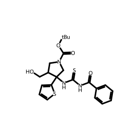 CC(C)(C)OC(=O)N1CC(CO)C(NC(=S)NC(=O)c2ccccc2)(c2cccs2)C1